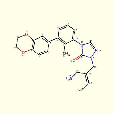 Cc1c(-c2ccc3c(c2)OCCO3)cccc1-n1cnn(C/C(=C/F)CN)c1=O